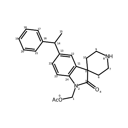 CC(=O)OCN1C(=O)C2(CCNCC2)c2cc(C(C)c3ccccc3)ccc21